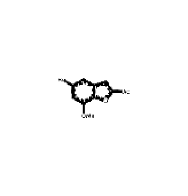 COc1cc(Br)cc2cc(C(C)=O)oc12